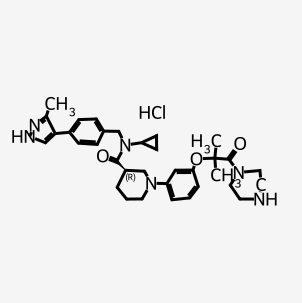 Cc1n[nH]cc1-c1ccc(CN(C(=O)[C@@H]2CCCN(c3cccc(OC(C)(C)C(=O)N4CCNCC4)c3)C2)C2CC2)cc1.Cl